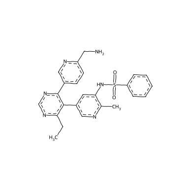 CCc1ncnc(-c2ccc(CN)nc2)c1-c1cnc(C)c(NS(=O)(=O)c2ccccc2)c1